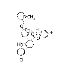 C/C=C(\C=C/C(C)OCC1CCCCN1C)[C@H]1c2[nH]c3ccc(Cl)cc3c2CCN1C(=O)OC1(C)C=CC(F)=CC1